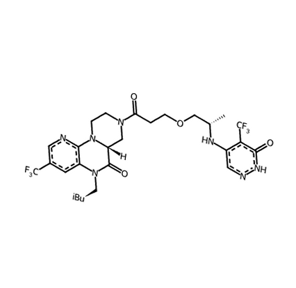 CC[C@H](C)CN1C(=O)[C@H]2CN(C(=O)CCOC[C@H](C)Nc3cn[nH]c(=O)c3C(F)(F)F)CCN2c2ncc(C(F)(F)F)cc21